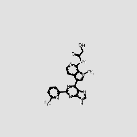 Cc1cccc(-c2nc(-c3cn(C)c4c(NC(=O)CO)nccc34)c3nc[nH]c3n2)n1